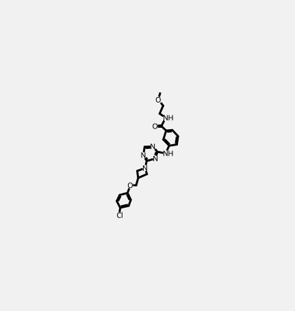 COCCNC(=O)c1cccc(Nc2ncnc(N3CC(COc4ccc(Cl)cc4)C3)n2)c1